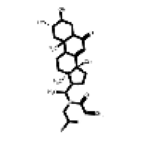 C=CC(=O)N(CC(F)F)C(C)C1CC[C@@]2(O)C3=CC(=O)C4CC(O)[C@@H](O)CC4(C)C3CC[C@]12C